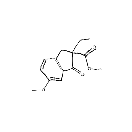 CCC1(C(=O)OC)Cc2ccc(OC)cc2C1=O